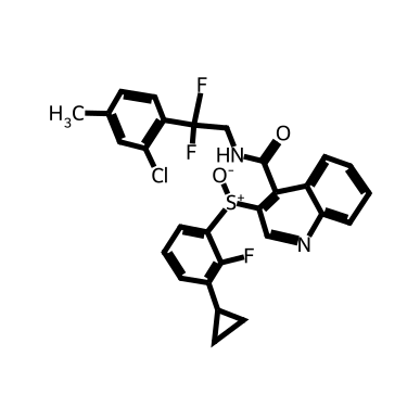 Cc1ccc(C(F)(F)CNC(=O)c2c([S+]([O-])c3cccc(C4CC4)c3F)cnc3ccccc23)c(Cl)c1